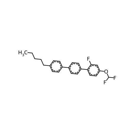 CCCCCc1ccc(-c2ccc(-c3ccc(OC(F)F)cc3F)cc2)cc1